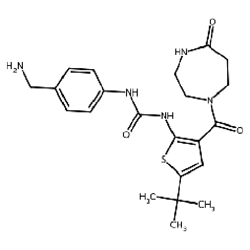 CC(C)(C)c1cc(C(=O)N2CCNC(=O)CC2)c(NC(=O)Nc2ccc(CN)cc2)s1